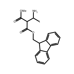 COC(=O)C(C(=O)OCC1c2ccccc2-c2ccccc21)C(N)I